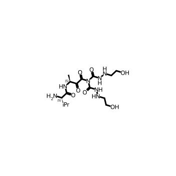 CC(C)[C@H](N)C(=O)N[C@@H](C)C(=O)C(=O)N(C(=O)NNCCO)C(=O)NNCCO